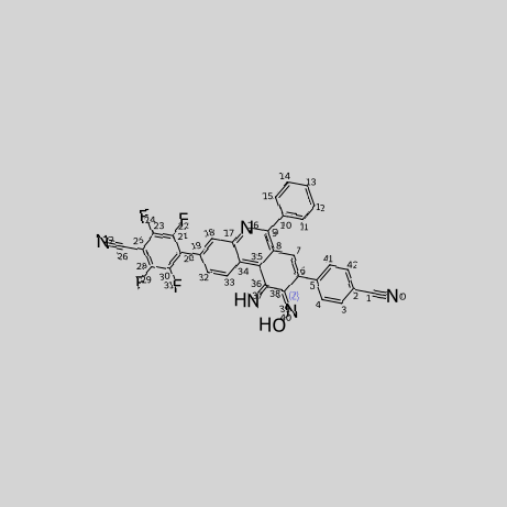 N#Cc1ccc(C2=Cc3c(-c4ccccc4)nc4cc(-c5c(F)c(F)c(C#N)c(F)c5F)ccc4c3C(=N)/C2=N\O)cc1